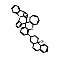 CC12CCC(c3cccc4c3OC3=C(CC=CC=C3)C43c4ccccc4-n4c5ccccc5c5cccc3c54)CC1C=Cc1ccccc12